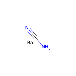 N#CN.[Ba]